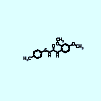 COc1ccc(NC(=O)NSc2ccc(C)cc2)c(OC)c1